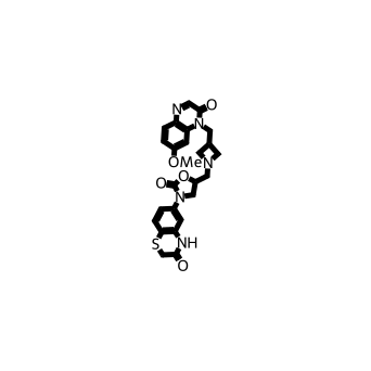 COc1ccc2ncc(=O)n(CC3CN(CC4CN(c5ccc6c(c5)NC(=O)CS6)C(=O)O4)C3)c2c1